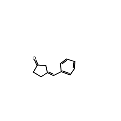 O=C1CCC(=Cc2ccccc2)C1